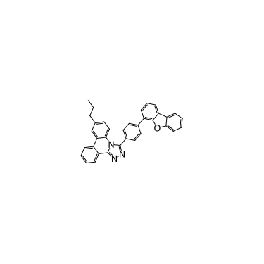 CCCc1ccc2c(c1)c1ccccc1c1nnc(-c3ccc(-c4cccc5c4oc4ccccc45)cc3)n21